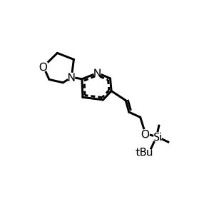 CC(C)(C)[Si](C)(C)OC/C=C/c1ccc(N2CCOCC2)nc1